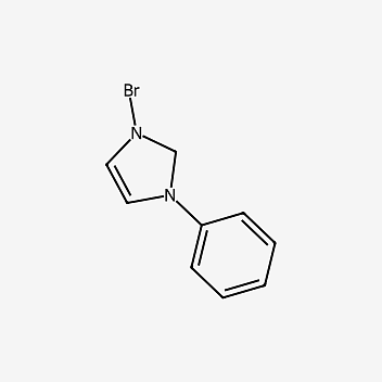 BrN1C=CN(c2ccccc2)C1